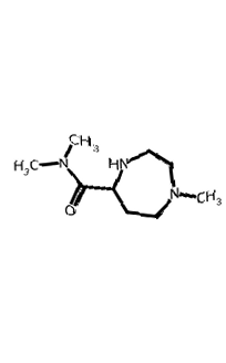 CN1CCNC(C(=O)N(C)C)CC1